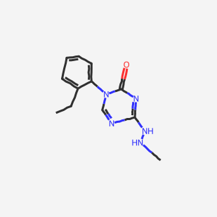 CCc1ccccc1-n1cnc(NNC)nc1=O